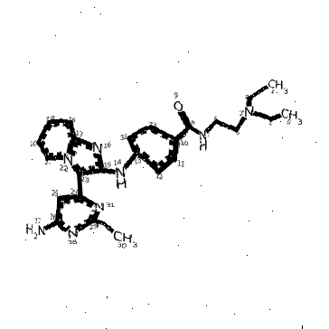 CCN(CC)CCNC(=O)c1ccc(Nc2nc3ccccn3c2-c2cc(N)nc(C)n2)cc1